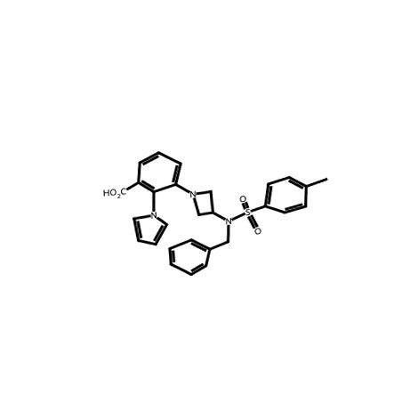 Cc1ccc(S(=O)(=O)N(Cc2ccccc2)C2CN(c3cccc(C(=O)O)c3-n3cccc3)C2)cc1